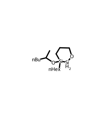 CCCCCC[Si]1(OC(C)CCCC)CCCO[SiH2]1